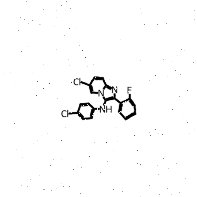 Fc1ccccc1-c1nc2ccc(Cl)cn2c1Nc1ccc(Cl)cc1